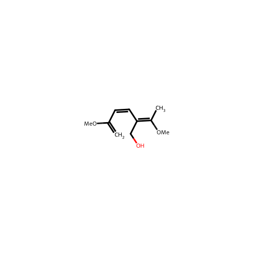 C=C(/C=C\C(CO)=C(/C)OC)OC